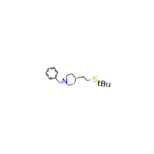 CC(C)(C)SCCC1CCN(Cc2ccccc2)CC1